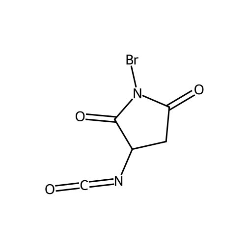 O=C=NC1CC(=O)N(Br)C1=O